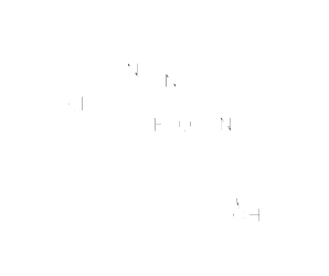 O=C1N([C@H]2CC[C@H](O)CC2)CCC12CCCN(c1ncc(Cl)cc1F)C2